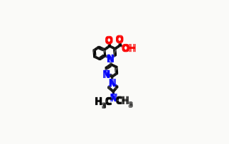 CN(C)C1CN(c2ccc(-n3cc(C(=O)O)c(=O)c4ccccc43)cn2)C1